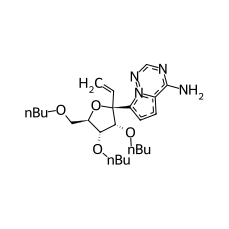 C=C[C@@]1(c2ccc3c(N)ncnn23)O[C@H](COCCCC)[C@@H](OCCCC)[C@H]1OCCCC